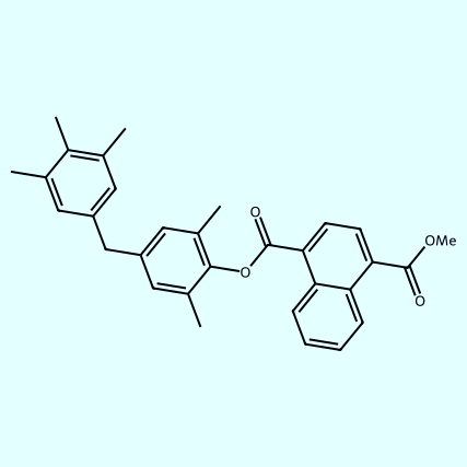 COC(=O)c1ccc(C(=O)Oc2c(C)cc(Cc3cc(C)c(C)c(C)c3)cc2C)c2ccccc12